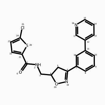 O=C(NCC1CC(c2cccc(-c3cccnc3)c2)=NO1)c1ccc(Cl)s1